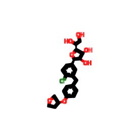 OCC(O)[C@H]1O[C@H](c2ccc(Cl)c(Cc3ccc(O[C@H]4CCOC4)cc3)c2)[C@H](O)[C@H]1O